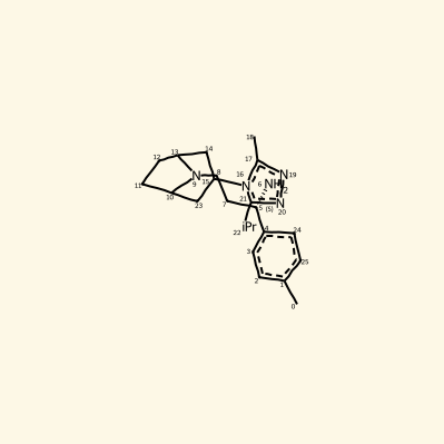 Cc1ccc([C@@H](N)CCN2C3CCC2CC(n2c(C)nnc2C(C)C)C3)cc1